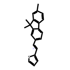 Cc1ccc2c(c1)C(C)(C)c1cc(/C=C/c3cccs3)ccc1-2